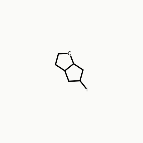 IC1CC2CCOC2C1